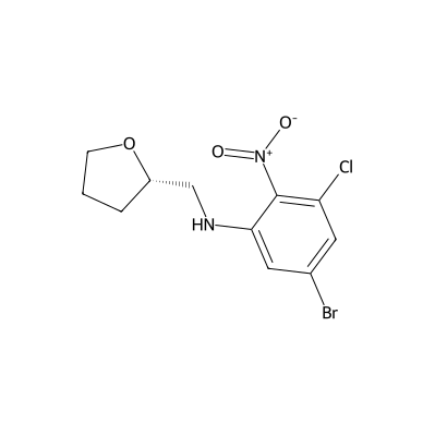 O=[N+]([O-])c1c(Cl)cc(Br)cc1NC[C@@H]1CCCO1